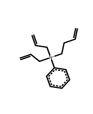 C=CCC[N+](CC=C)(CC=C)c1ccccc1